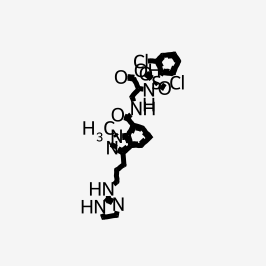 Cn1nc(CCCNC2=NCCN2)c2cccc(C(=O)NCC(NS(=O)(=O)c3c(Cl)cccc3Cl)C(=O)O)c21